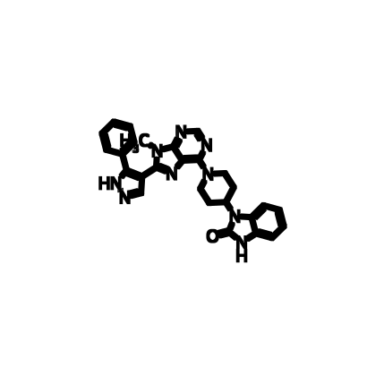 Cn1c(-c2cn[nH]c2-c2ccccc2)nc2c(N3CCC(n4c(=O)[nH]c5ccccc54)CC3)ncnc21